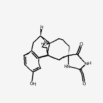 O=C1NC(=O)[C@@]2(CC[C@@]3(O)[C@H]4Cc5ccc(O)cc5C3(CCN4)C2)N1